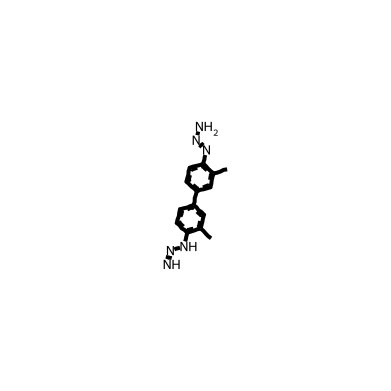 Cc1cc(-c2ccc(NN=N)c(C)c2)ccc1N=NN